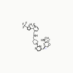 CNC(=O)S/C(C=O)=C\c1ccnc(N2CCC(CNCC3=CC=CN(C)C3c3ccc(C(F)(F)F)s3)CC2)n1